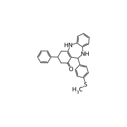 CSc1ccc(C2Nc3ccccc3NC3=C2C(=O)CC(c2ccccc2)C3)cc1